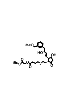 COCc1cccc(C[C@H](O)C=C[C@H]2[C@H](O)CC(=O)[C@@H]2CCSCCCC(=O)OCC(=O)OC(C)(C)C)c1